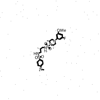 COc1cc(F)cc(N2C[C@H](C)N(S(=O)(=O)NC[C@@H](C)CNS(=O)(=O)c3ccc(N(C)C)cc3)[C@@H](C)C2)c1